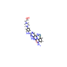 N=c1c2cnc(Nc3ccc(N4CCN(CCO)CC4)cc3)nc2[nH]c(=O)n1-c1c(N)cccc1Cl